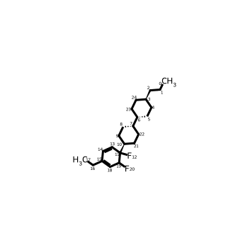 CCC[C@H]1CC[C@H]([C@H]2CC[C@H](C3(F)C=CC(CC)=CC3F)CC2)CC1